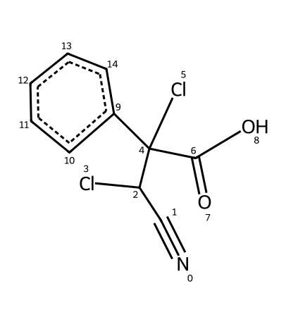 N#CC(Cl)C(Cl)(C(=O)O)c1ccccc1